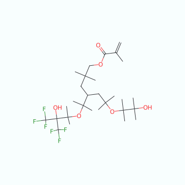 C=C(C)C(=O)OCC(C)(C)CC(CC(C)(C)OC(C)(C)C(C)(C)O)C(C)(C)OC(C)(C)C(O)(C(F)(F)F)C(F)(F)F